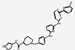 Cc1cccc(-c2nccc(Nc3ccnc(Nc4ccc(CN5CCCC(C(=O)NC6CCNC6)C5)cc4)n3)n2)n1